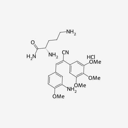 COc1ccc(C=C(C#N)c2cc(OC)c(OC)c(OC)c2)cc1N.Cl.NCCC[C@H](N)C(N)=O